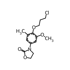 COc1cc(N2CCOC2=O)cc(C)c1OCCCCl